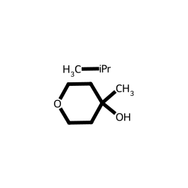 CC(C)C.CC1(O)CCOCC1